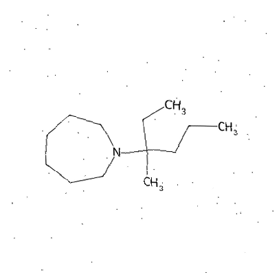 CCCC(C)(CC)N1CCCCCC1